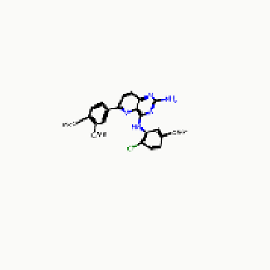 COc1ccc(Cl)c(Nc2nc(N)nc3ccc(-c4ccc(OC)c(OC)c4)nc23)c1